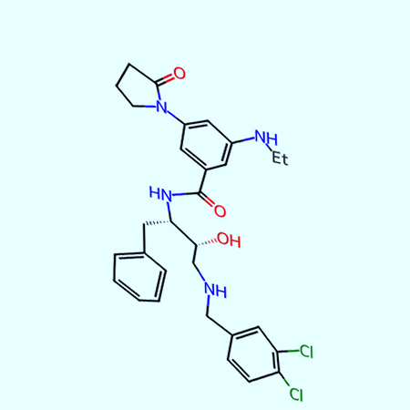 CCNc1cc(C(=O)N[C@@H](Cc2ccccc2)[C@H](O)CNCc2ccc(Cl)c(Cl)c2)cc(N2CCCC2=O)c1